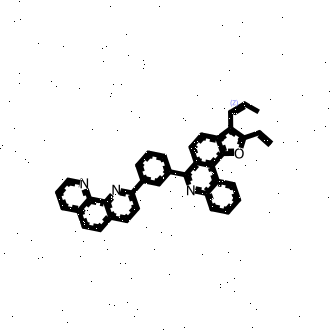 C=Cc1oc2c(ccc3c(-c4cccc(-c5ccc6ccc7cccnc7c6n5)c4)nc4ccccc4c32)c1/C=C\C